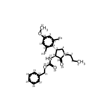 CCCN1C[C@@H](c2c(F)cc(OC)cc2F)[C@H](NC(=O)OCc2ccccc2)C1=O